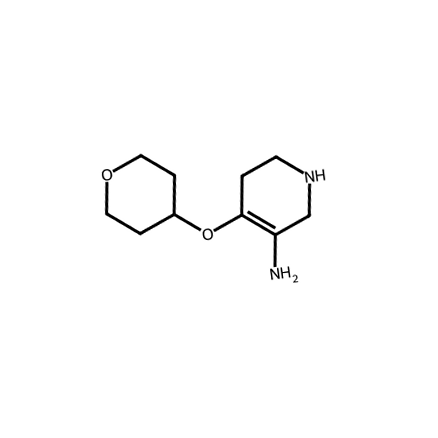 NC1=C(OC2CCOCC2)CCNC1